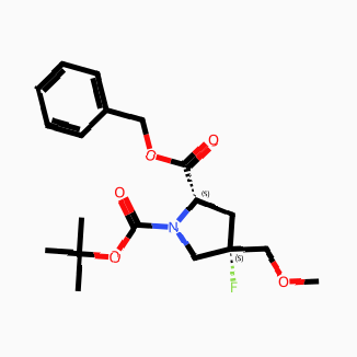 COC[C@]1(F)C[C@@H](C(=O)OCc2ccccc2)N(C(=O)OC(C)(C)C)C1